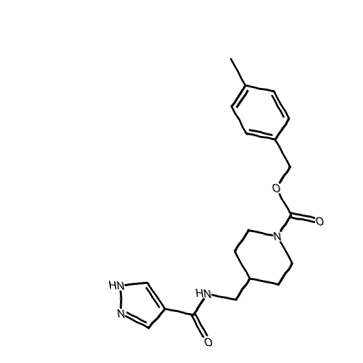 Cc1ccc(COC(=O)N2CCC(CNC(=O)c3cn[nH]c3)CC2)cc1